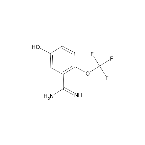 N=C(N)c1cc(O)ccc1OC(F)(F)F